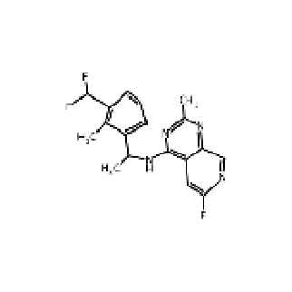 Cc1nc(NC(C)c2cccc(C(F)F)c2C)c2cc(F)ncc2n1